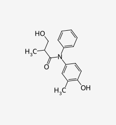 Cc1cc(N(C(=O)C(C)CO)c2ccccc2)ccc1O